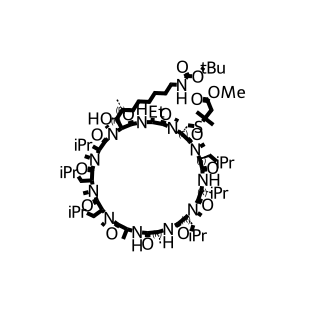 CCC1NC(=O)C([C@H](O)[C@H](C)CCCCCCNC(=O)OC(C)(C)C)N(C)C(=O)C(C(C)C)N(C)C(=O)C(CC(C)C)N(C)C(=O)C(CC(C)C)N(C)C(=O)C(C)NC(=O)[C@@H](C)NC(=O)[C@@H](CC(C)C)N(C)C(=O)[C@@H](C(C)C)NC(=O)[C@H](CC(C)C)N(C)C(=O)[C@@H](CSC(C)(C)CC(=O)OC)N(C)C1=O